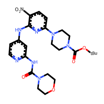 CC(C)(C)OC(=O)N1CCN(c2ccc([N+](=O)[O-])c(Nc3ccnc(NC(=O)N4CCOCC4)c3)n2)CC1